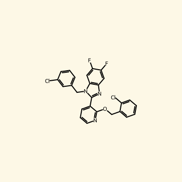 Fc1cc2nc(-c3cccnc3OCc3ccccc3Cl)n(Cc3cccc(Cl)c3)c2cc1F